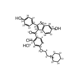 Cl.O=C(c1ccc(OCCN2CCCCC2)cc1Cl)c1c(-c2ccc(O)cc2)sc2cc(O)ccc12